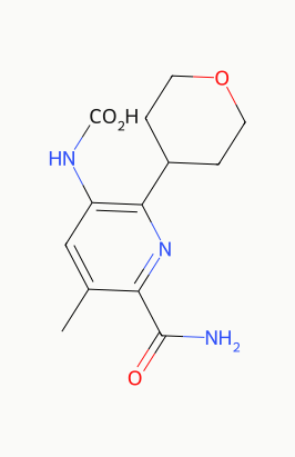 Cc1cc(NC(=O)O)c(C2CCOCC2)nc1C(N)=O